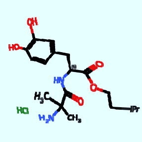 CC(C)CCOC(=O)[C@H](Cc1ccc(O)c(O)c1)NC(=O)C(C)(C)N.Cl